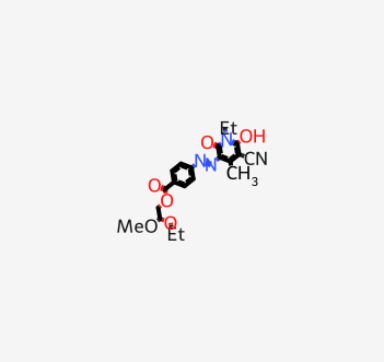 CCOC(COC(=O)c1ccc(N=Nc2c(C)c(C#N)c(O)n(CC)c2=O)cc1)OC